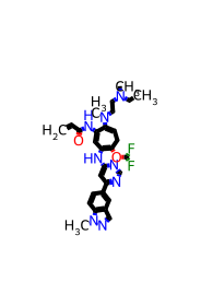 C=CC(=O)NC1=CC(Nc2cc(-c3ccc4c(cnn4C)c3)ncn2)=C(OC(F)F)CC=C1N(C)CCN(C)CC